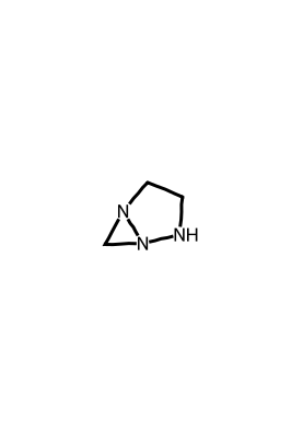 C1CN2CN2N1